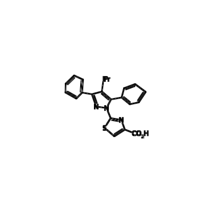 CC(C)c1c(-c2ccccc2)nn(-c2nc(C(=O)O)cs2)c1-c1ccccc1